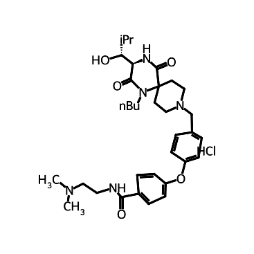 CCCCN1C(=O)[C@@H]([C@H](O)C(C)C)NC(=O)C12CCN(Cc1ccc(Oc3ccc(C(=O)NCCN(C)C)cc3)cc1)CC2.Cl